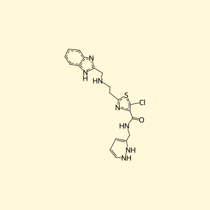 O=C(NCC1=CC=CNN1)c1nc(CCNCc2nc3ccccc3[nH]2)sc1Cl